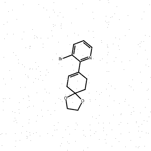 Brc1cccnc1C1=CCC2(CC1)OCCO2